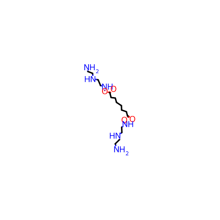 NCCNCCNOC(=O)CCCCCCC(=O)ONCCNCCN